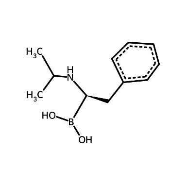 CC(C)N[C@@H](Cc1ccccc1)B(O)O